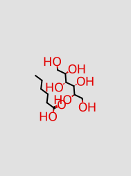 CCCCCC(=O)O.OC[C@@H](O)[C@@H](O)[C@H](O)[C@H](O)CO